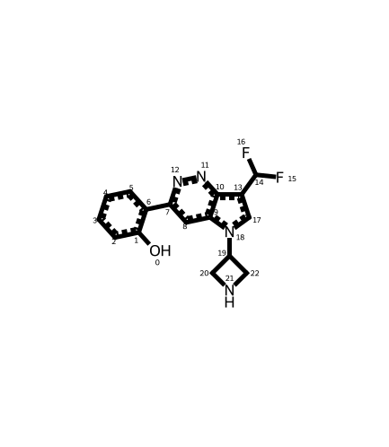 Oc1ccccc1-c1cc2c(nn1)c(C(F)F)cn2C1CNC1